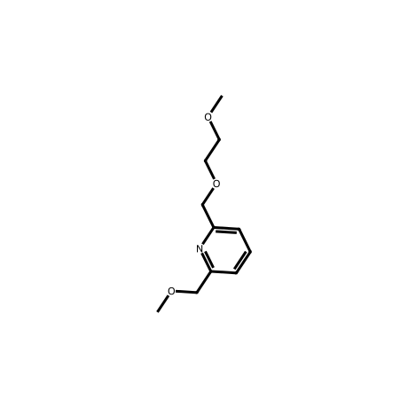 COCCOCc1cccc(COC)n1